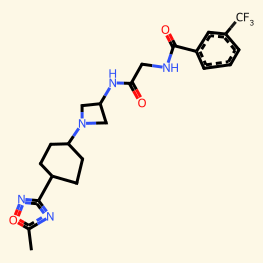 Cc1nc(C2CCC(N3CC(NC(=O)CNC(=O)c4cccc(C(F)(F)F)c4)C3)CC2)no1